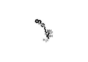 CCc1cc2nc(CCCCN3CCN(c4ccc5ccccc5n4)CC3)n(N)c(=O)c2[nH]1